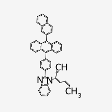 C#C/C(=C\C=C/C)n1c(-c2ccc(-c3c4ccccc4c(-c4ccc5ccccc5c4)c4ccccc34)cc2)nc2ccccc21